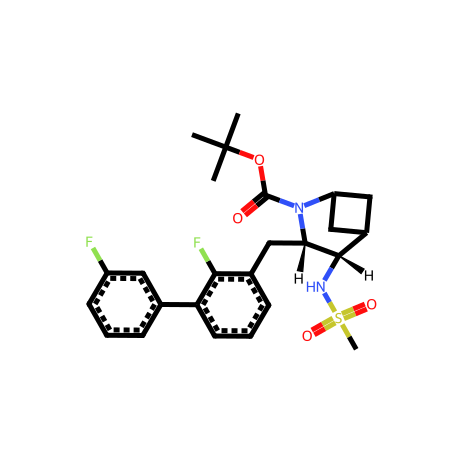 CC(C)(C)OC(=O)N1C2CC(C2)[C@H](NS(C)(=O)=O)[C@@H]1Cc1cccc(-c2cccc(F)c2)c1F